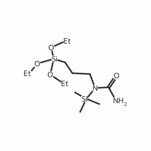 CCO[Si](CCCN(C(N)=O)[Si](C)(C)C)(OCC)OCC